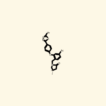 CC(=O)c1ccc(CN2C[C@@H](C)CC2=O)c(Oc2ccc(-c3nnc(C(C)C)s3)cc2)c1